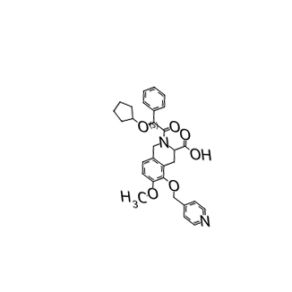 COc1ccc2c(c1OCc1ccncc1)CC(C(=O)O)N(C(=O)[C@@H](OC1CCCC1)c1ccccc1)C2